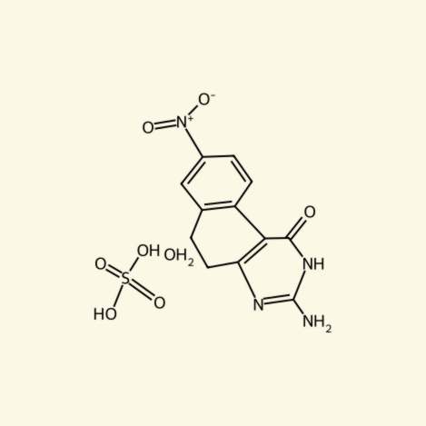 Nc1nc2c(c(=O)[nH]1)-c1ccc([N+](=O)[O-])cc1CC2.O.O=S(=O)(O)O